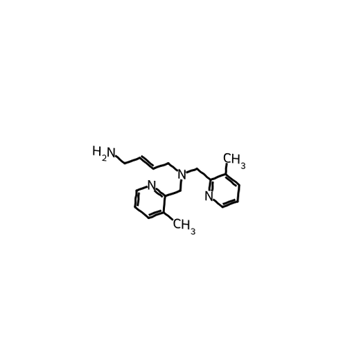 Cc1cccnc1CN(CC=CCN)Cc1ncccc1C